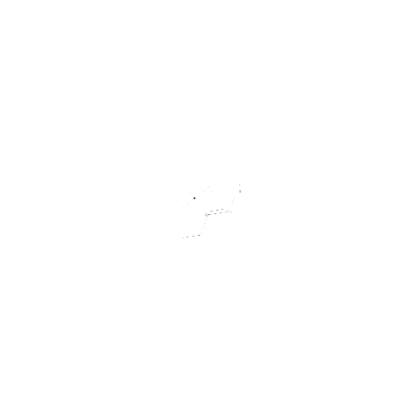 CCC(C)(CC)/C(CF)=N\O